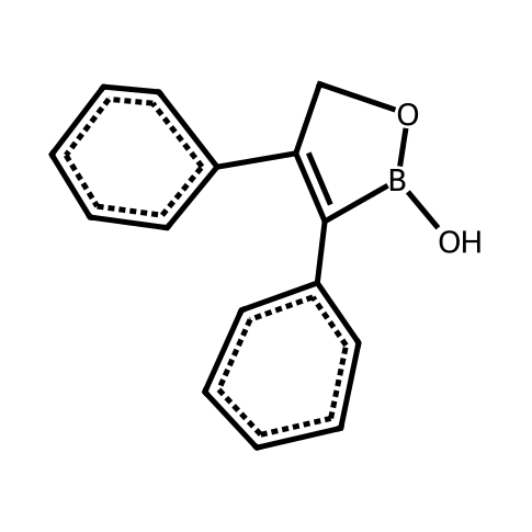 OB1OCC(c2ccccc2)=C1c1ccccc1